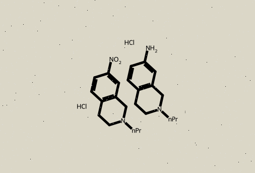 CCCN1CCc2ccc(N)cc2C1.CCCN1CCc2ccc([N+](=O)[O-])cc2C1.Cl.Cl